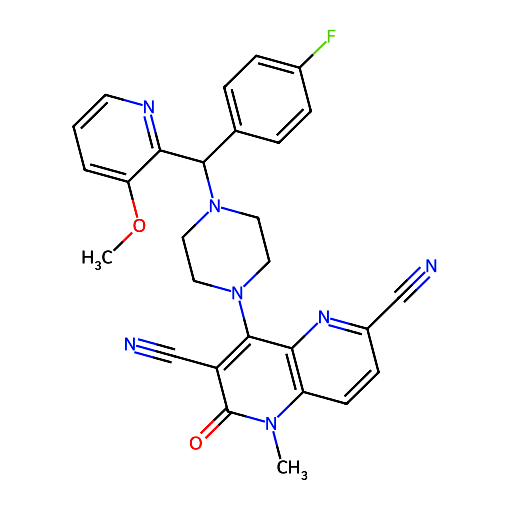 COc1cccnc1C(c1ccc(F)cc1)N1CCN(c2c(C#N)c(=O)n(C)c3ccc(C#N)nc23)CC1